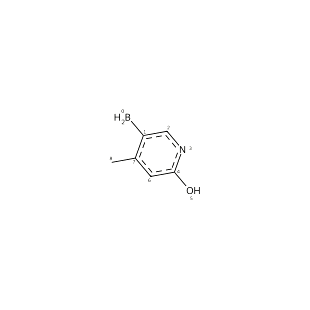 Bc1cnc(O)cc1C